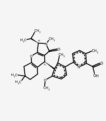 COc1ccc(-c2ccc(C)c(C(=O)O)n2)c(C)c1[C@H]1C2=C(CC(C)(C)CC2)OC2=C1C(=O)N(C)[C@@H]2C(C)C